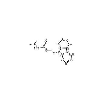 CONC(=O)OCCC1c2ccccc2-c2ccccc21